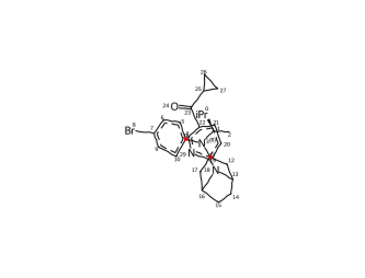 CC(C)[C@@H](C)N(c1ccc(Br)cc1)C1CC2CCC(C1)N2c1ccc(C(=O)C2CC2)cn1